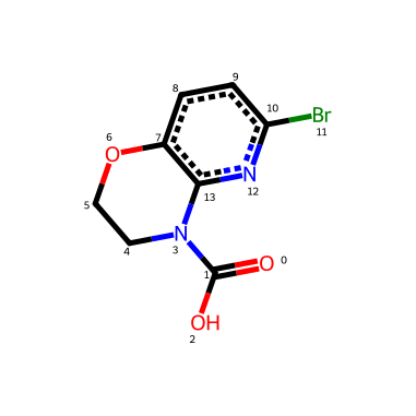 O=C(O)N1CCOc2ccc(Br)nc21